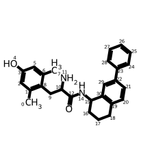 Cc1cc(O)cc(C)c1CC(N)C(=O)NC1CCCc2ccc(-c3ccccc3)cc21